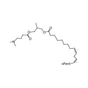 [CH2]C(COC(=O)CCCCCCC/C=C\C/C=C\CCCCC)COC(=O)CCCN(C)C